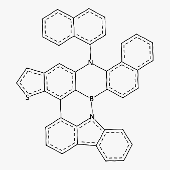 c1ccc2c(N3c4cc5ccsc5c5c4B(c4ccc6ccccc6c43)n3c4ccccc4c4cccc-5c43)cccc2c1